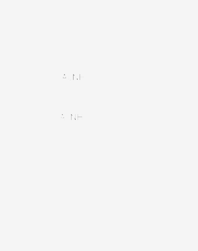 CC(=O)Nc1cccc(-c2ccccc2)c1NC(C)=O